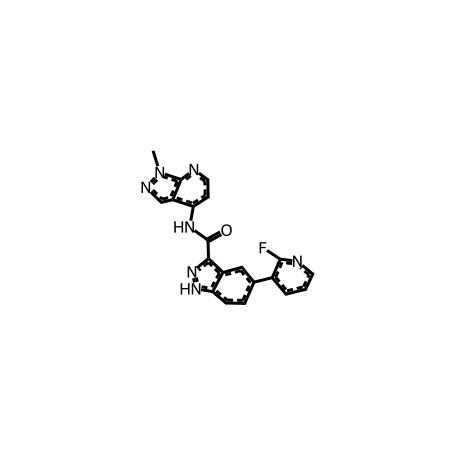 Cn1ncc2c(NC(=O)c3n[nH]c4ccc(-c5cccnc5F)cc34)ccnc21